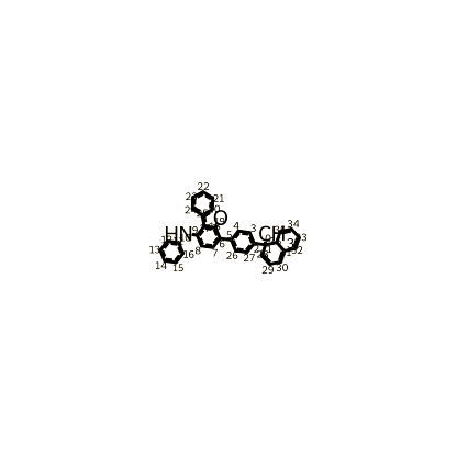 CC1(c2ccc(-c3ccc(Nc4ccccc4)c4c3oc3ccccc34)cc2)C=CC=C2C=CC=CC21